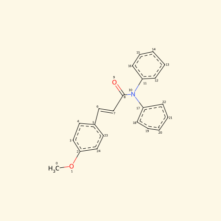 COc1ccc(C=CC(=O)N(c2ccccc2)c2ccccc2)cc1